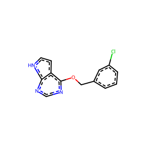 Clc1cccc(COc2ncnc3[nH]ccc23)c1